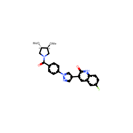 CO[C@H]1CN(C(=O)c2ccc(-n3cc(-c4cc5cc(F)ccc5[nH]c4=O)cn3)cc2)C[C@@H]1OC